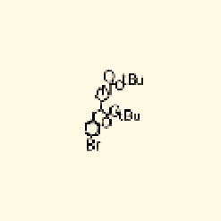 CC(C)(C)OC(=O)[C@@H](Cc1ccc(Br)cc1)[C@H]1CCN(C(=O)OC(C)(C)C)C1